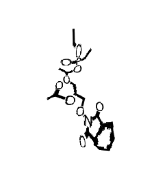 CCOP(=O)(CC)OC(C)OCC(CON1C(=O)c2ccccc2C1=O)OC(C)=O